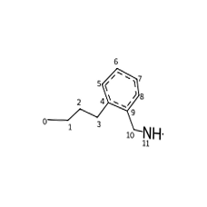 CCCCc1ccccc1C[NH]